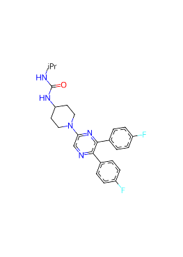 CC(C)NC(=O)NC1CCN(c2cnc(-c3ccc(F)cc3)c(-c3ccc(F)cc3)n2)CC1